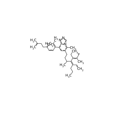 C=C/C(CCC)=C(\C(CC)=C(/C)F)C(C)CCc1cc(C(/C=C\C(=C)CCC(=C)C)=C(C)C)c2nncn2c1C